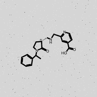 CC(c1ccccc1)N1CC[C@H](CNCc2cc(C(=O)O)ccn2)C1=O